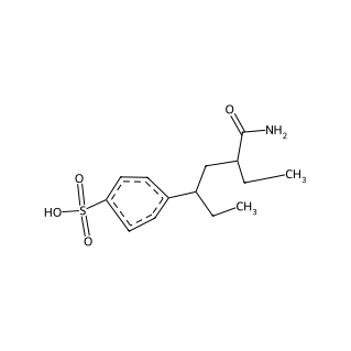 CCC(CC(CC)c1ccc(S(=O)(=O)O)cc1)C(N)=O